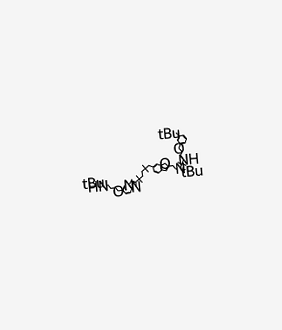 CC(C)(CCC(C)(C)c1cn2cc(OCCCNC(C)(C)C)ccc2n1)Cc1ccc2cc(CCN(C(C)(C)C)C(C)(C)NCCOc3cccc(C(C)(C)C)c3)oc2c1